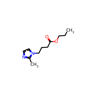 CCCOC(=O)CCCn1c[c]nc1C